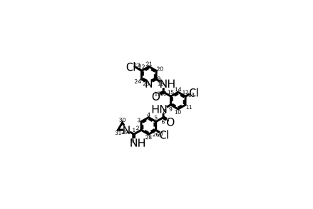 N=C(c1ccc(C(=O)Nc2ccc(Cl)cc2C(=O)Nc2ccc(Cl)cn2)c(Cl)c1)N1CC1